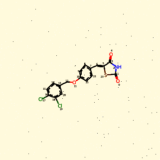 O=C1NC(=O)C(=Cc2ccc(OCc3ccc(Cl)c(Cl)c3)cc2)S1